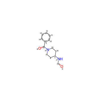 O=CNC1CCN(C(=O)c2ccccc2)CC1